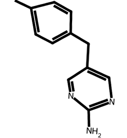 Cc1ccc(Cc2cnc(N)nc2)cc1